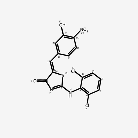 O=C1N=C(Nc2c(Cl)cccc2Cl)SC1=Cc1ccc([N+](=O)[O-])c(O)c1